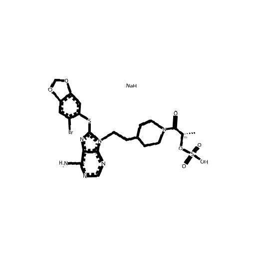 C[C@H](OS(=O)(=O)O)C(=O)N1CCC(CCn2c(Sc3cc4c(cc3Br)OCO4)nc3c(N)ncnc32)CC1.[NaH]